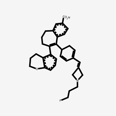 O=C(O)c1ccc2c(c1)CCCC(c1cccc3c1CCCO3)=C2C1C=CC(C=C2CN(CCCF)C2)=CC1